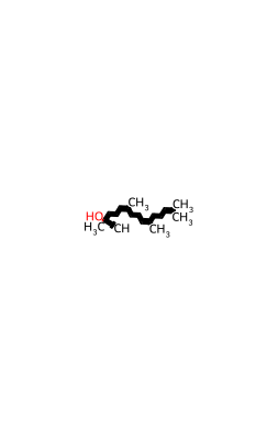 C#CC(C)(O)CC/C=C(/C)CCC=C(C)CCC=C(C)C